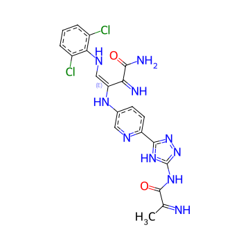 CC(=N)C(=O)Nc1nnc(-c2ccc(N/C(=C/Nc3c(Cl)cccc3Cl)C(=N)C(N)=O)cn2)[nH]1